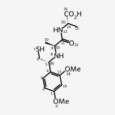 COc1ccc([C@H](CS)N[C@@H](C)C(=O)N[C@@H](C)C(=O)O)c(OC)c1